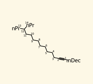 [CH2]CCCCCCCCCC#CCCCCCCCCCC(CC[CH2])CCC